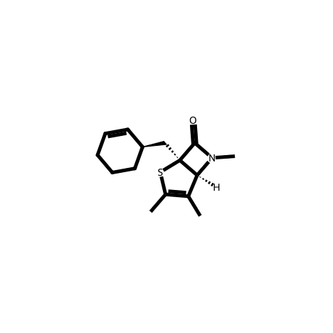 CC1=C(C)[C@@H]2N(C)C(=O)[C@]2(C[C@@H]2C=CCCC2)S1